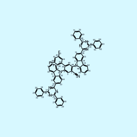 N#Cc1cc(-n2c3ccccc3c3cc(-c4nc(-c5ccccc5)nc(-c5ccccc5)n4)ccc32)c(-c2cc(F)cc(F)c2)cc1-n1c2ccccc2c2cc(-c3nc(-c4ccccc4)nc(-c4ccccc4)n3)ccc21